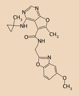 COc1ccc2oc(CNC(=O)c3c(C)oc4ncnc(NC5(C)CC5)c34)nc2c1